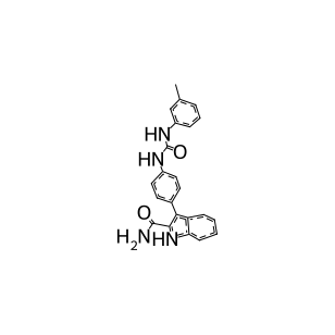 Cc1cccc(NC(=O)Nc2ccc(-c3c(C(N)=O)[nH]c4ccccc34)cc2)c1